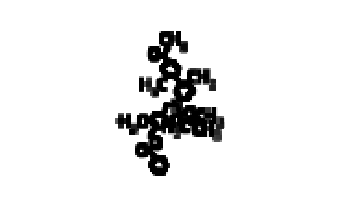 [CH2]c1cc(CN(C(=O)OC(C)(C)C)c2ccc(C)c(-c3ccc(C(=O)CC)cc3C)c2)ccc1COC(=O)c1ccccc1